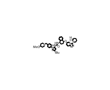 COC1CCN(Cc2ccc(-n3nc(C(C)(C)C)cc3NC(=O)N[C@H]3CC[C@@H](Oc4ccc5nnc(N6CCCC[C@@H]6C)n5c4)c4ccccc43)cc2)CC1